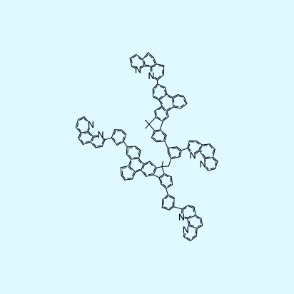 CC1(C)c2ccc(-c3cc(CC4(C)c5ccc(-c6cccc(-c7ccc8ccc9cccnc9c8n7)c6)cc5-c5cc6c7ccccc7c7cc(-c8cccc(-c9ccc%10ccc%11cccnc%11c%10n9)c8)ccc7c6cc54)cc(-c4ccc5ccc6cccnc6c5n4)c3)cc2-c2cc3c4ccccc4c4cc(-c5ccc6ccc7cccnc7c6n5)ccc4c3cc21